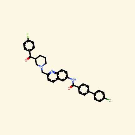 O=C(Nc1ccc2nc(CN3CCCC(C(=O)c4ccc(F)cc4)C3)ccc2c1)c1ccc(-c2ccc(Cl)cc2)cc1